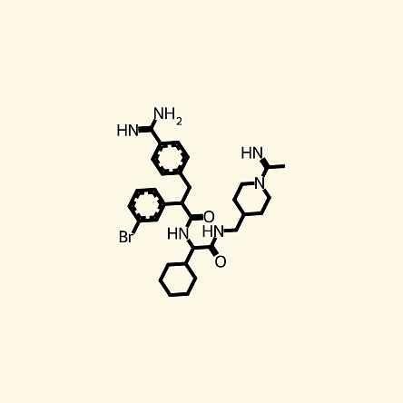 CC(=N)N1CCC(CNC(=O)C(NC(=O)C(Cc2ccc(C(=N)N)cc2)c2cccc(Br)c2)C2CCCCC2)CC1